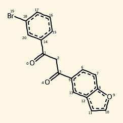 O=C(CC(=O)c1ccc2occc2c1)c1cccc(Br)c1